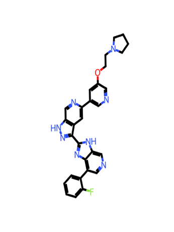 Fc1ccccc1-c1cncc2[nH]c(-c3n[nH]c4cnc(-c5cncc(OCCN6CCCC6)c5)cc34)nc12